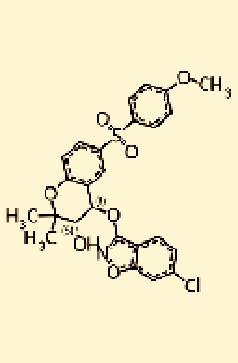 COc1ccc(S(=O)(=O)c2ccc3c(c2)[C@@H](Oc2noc4cc(Cl)ccc24)[C@H](O)C(C)(C)O3)cc1